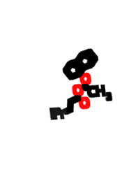 CC(C)CCC(=O)OC(C)OC12CCC(C1)C1C3CCC(C3)C12